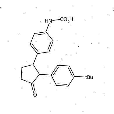 CC(C)(C)c1ccc(C2C(=O)CCC2c2ccc(NC(=O)O)cc2)cc1